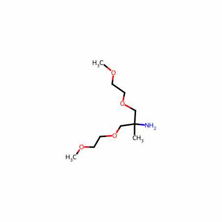 COCCOCC(C)(N)COCCOC